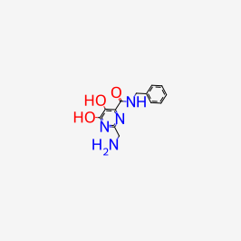 NCc1nc(O)c(O)c(C(=O)NCc2ccccc2)n1